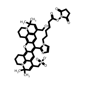 CCC1=CC(C)(C)N2CCCc3c4c(cc1c32)C(c1nccn1CCCCCC(=O)ON1C(=O)CCC1=O)=c1cc2c3c(c1O4)CCC[N+]=3C(C)(C)C=C2CS(=O)(=O)[O-]